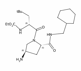 CCOC(=O)N[C@H](CC(C)(C)C)C(=O)N1C[C@H](N)C[C@H]1C(=O)NCC1CCCCC1